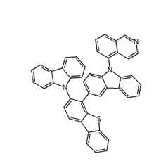 c1cc(-n2c3ccccc3c3cc(-c4c(-n5c6ccccc6c6ccccc65)ccc5c4sc4ccccc45)ccc32)c2ccncc2c1